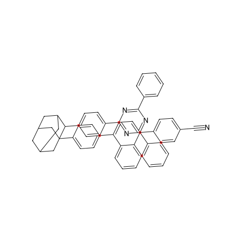 N#Cc1ccc(-c2ccc(-c3ccc(C45CC6CC(CC(C6)C4c4ccc(-c6nc(-c7ccccc7)nc(-c7ccccc7)n6)cc4)C5)cc3)c3ccccc23)cc1